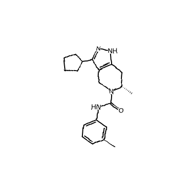 Cc1cccc(NC(=O)N2Cc3c(C4CCCC4)n[nH]c3C[C@@H]2C)c1